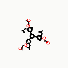 C=C(C)CC1=C(OCC2CO2)C=CC(c2cc(-c3ccc(OCCOC)c(CC(=C)C)c3)cc(-c3ccc(OCC4CO4)c(CC(=C)C)c3)c2)C1